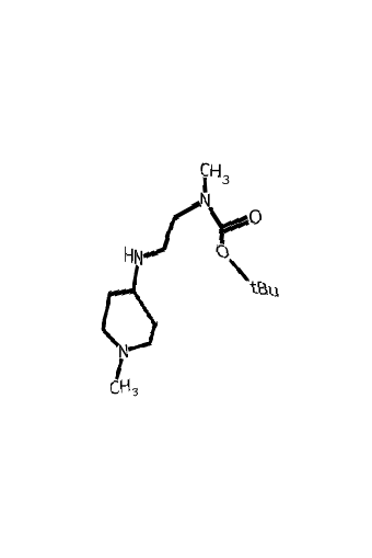 CN1CCC(NCCN(C)C(=O)OC(C)(C)C)CC1